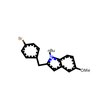 CCCCn1c(Cc2ccc(Br)cc2)cc2cc(OC)ccc21